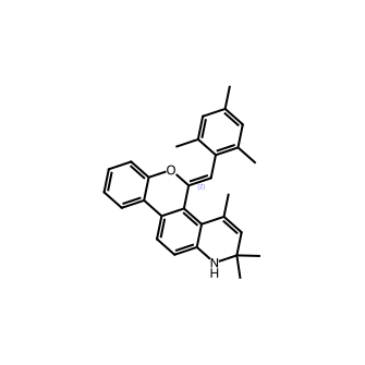 CC1=CC(C)(C)Nc2ccc3c(c21)/C(=C/c1c(C)cc(C)cc1C)Oc1ccccc1-3